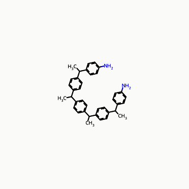 CC(c1ccc(N)cc1)c1ccc(C(C)c2ccc(C(C)c3ccc(C(C)c4ccc(N)cc4)cc3)cc2)cc1